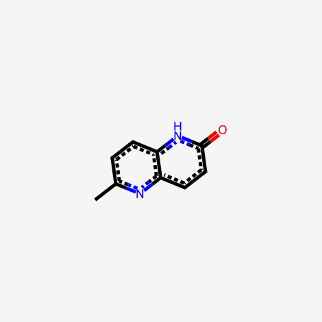 Cc1ccc2[nH]c(=O)ccc2n1